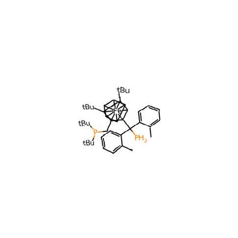 Cc1ccccc1C(P)(c1ccccc1C)[C]12[CH]3[C]4(C(C)(C)C)[C]5(C(C)(C)C)[C]1(CP(C(C)(C)C)C(C)(C)C)[Fe]32451678[CH]2[CH]1[CH]6[CH]7[CH]28